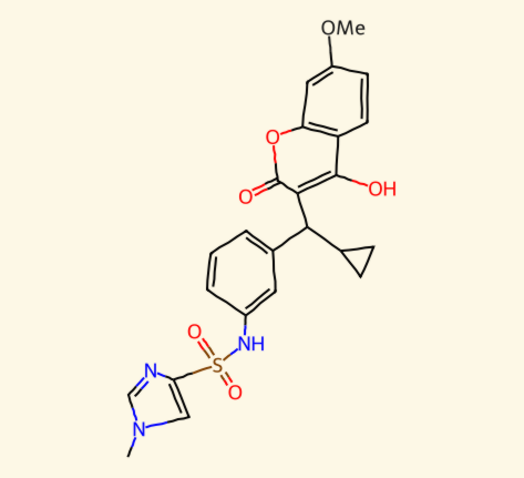 COc1ccc2c(O)c(C(c3cccc(NS(=O)(=O)c4cn(C)cn4)c3)C3CC3)c(=O)oc2c1